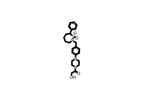 O=C(CO)N1CCN(c2ccc(CN3CCCCC(c4ccccc4)S3(=O)=O)cc2)CC1